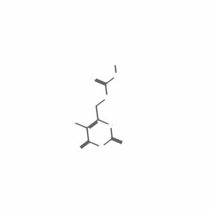 CNC(=N)NCc1[nH]c(=O)[nH]c(=O)c1Cl.Cl